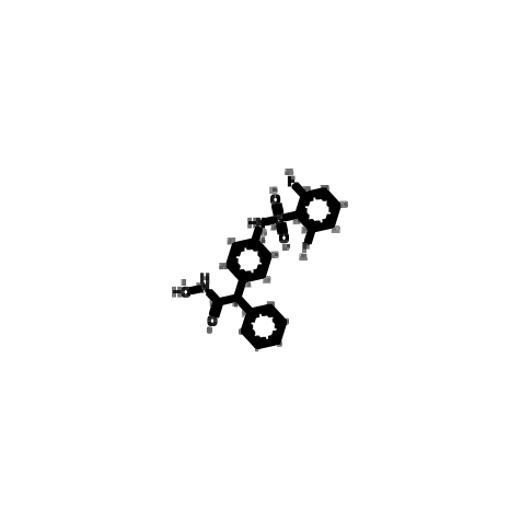 O=C(NO)C(c1ccccc1)c1ccc(NS(=O)(=O)c2c(F)cccc2F)cc1